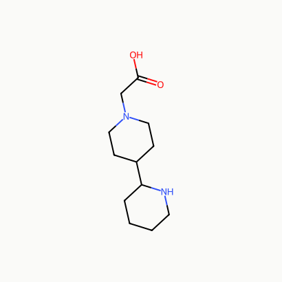 O=C(O)CN1CCC(C2CCCCN2)CC1